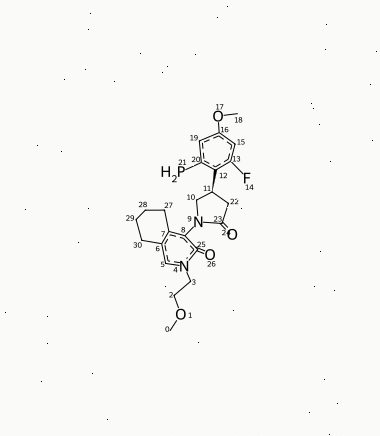 COCCn1cc2c(c(N3C[C@@H](c4c(F)cc(OC)cc4P)CC3=O)c1=O)CCCC2